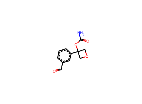 NC(=O)OC1(c2cccc(C=O)c2)COC1